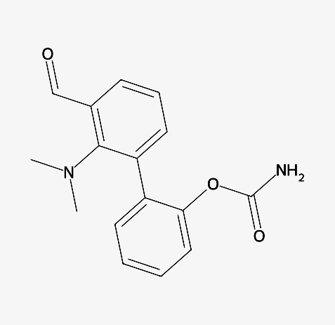 CN(C)c1c(C=O)cccc1-c1ccccc1OC(N)=O